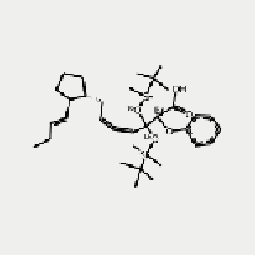 CC/C=C/[C@H]1CCC[C@@H]1CC=C=CC([16O][Si](C)(C)C(C)(C)C)([16O][Si](C)(C)C(C)(C)C)C(Br)(Oc1ccccc1)C(=O)O